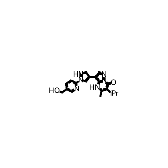 Cc1[nH]c2c(C3=CN(c4ccc(CO)cn4)NC3)cnn2c(=O)c1C(C)C